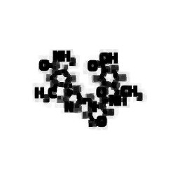 Cc1cc(C(N)=O)ccc1-c1cncc(CN2CCOC[C@@H]2C(=O)N[C@@H](C)c2ccc(C(=O)O)cc2)c1